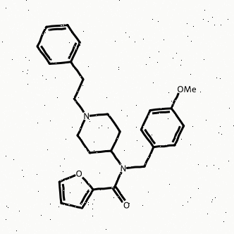 COc1ccc(CN(C(=O)c2ccco2)C2CCN(CCc3ccccc3)CC2)cc1